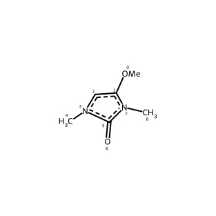 COc1cn(C)c(=O)n1C